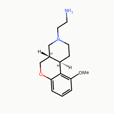 COc1cccc2c1[C@@H]1CCN(CCN)C[C@H]1CO2